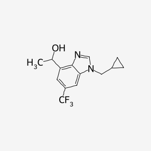 CC(O)c1cc(C(F)(F)F)cc2c1ncn2CC1CC1